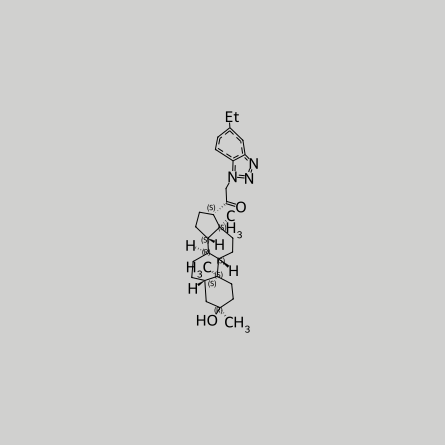 CCc1ccc2c(c1)nnn2CC(=O)[C@H]1CC[C@H]2[C@@H]3CC[C@H]4C[C@](C)(O)CC[C@]4(C)[C@H]3CC[C@]12C